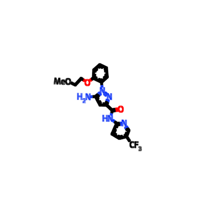 COCCOc1ccccc1-n1nc(C(=O)Nc2ccc(C(F)(F)F)cn2)cc1N